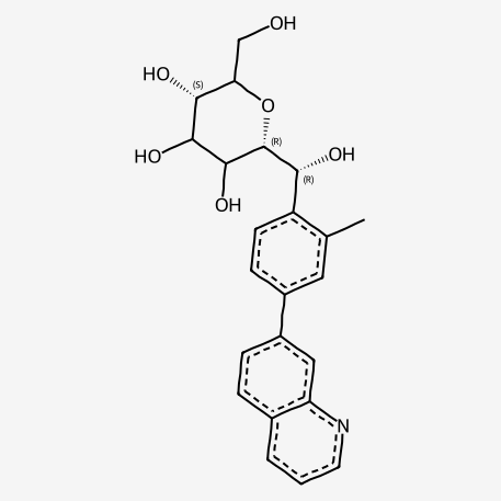 Cc1cc(-c2ccc3cccnc3c2)ccc1[C@@H](O)[C@H]1OC(CO)[C@@H](O)C(O)C1O